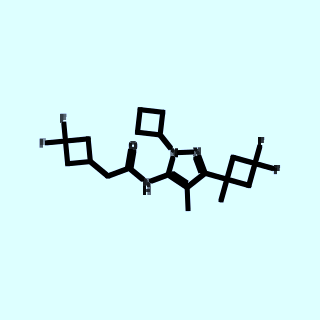 Cc1c(C2(C)CC(F)(F)C2)nn(C2CCC2)c1NC(=O)CC1CC(F)(F)C1